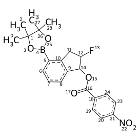 CC1(C)OB(c2cccc3c2CC(F)C3OC(=O)c2ccc([N+](=O)[O-])cc2)OC1(C)C